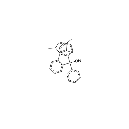 CC1=CC(C)C(c2ccccc2C(O)(c2ccccc2)c2ccccc2)=C1C